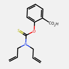 C=CCN(CC=C)C(=S)Oc1ccccc1C(=O)O